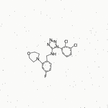 Fc1ccc(CNc2nnnn2-c2cccc(Cl)c2Cl)c(N2CCOCC2)c1